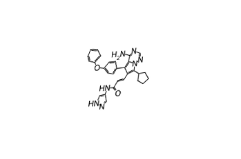 Nc1ncnn2c(C3CCCC3)c(C=CC(=O)Nc3cn[nH]c3)c(-c3ccc(Oc4ccccc4)cc3)c12